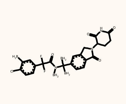 Bc1cc(C(F)(F)C(=O)N(B)C(B)(B)c2ccc3c(c2)CN(C2CCC(=O)NC2=O)C3=O)ccc1Cl